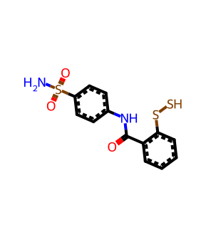 NS(=O)(=O)c1ccc(NC(=O)c2ccccc2SS)cc1